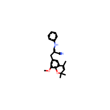 COc1cc(CC(C#N)=CNc2ccccc2)cc2c1OC(C)(C)C=C2C